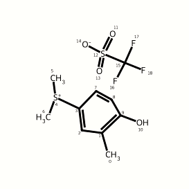 Cc1cc([S+](C)C)ccc1O.O=S(=O)([O-])C(F)(F)F